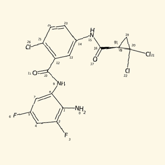 Nc1c(F)cc(F)cc1NC(=O)c1cc(NC(=O)[C@H]2CC2(Cl)Cl)ccc1Cl